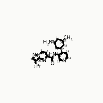 CC(C)c1cnn2ccc(C(=O)Nc3cnccc3[C@@H]3C[C@H](C)C[C@@H](N)C3)nc12